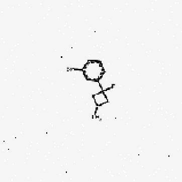 CC1CC(F)(c2cccc(Br)c2)C1